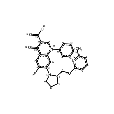 Cc1cccc(OC[C@H]2CCCN2c2cc3c(cc2F)c(=O)c(C(=O)O)cn3-c2ccccc2)n1